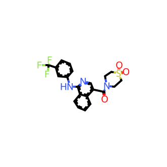 O=C(c1cnc(Nc2cccc(C(F)(F)F)c2)c2ccccc12)N1CCS(=O)(=O)CC1